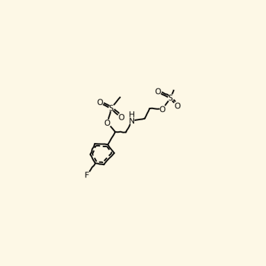 CS(=O)(=O)OCCNCC(OS(C)(=O)=O)c1ccc(F)cc1